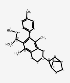 Cc1ccc(-c2c(C)c3c(c(C)c2[C@H](OC(C)(C)C)C(=O)O)CCN(C2CC4CCC2C4)C3)cc1